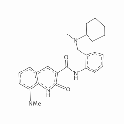 CNc1cccc2cc(C(=O)Nc3ccccc3CN(C)C3CCCCC3)c(=O)[nH]c12